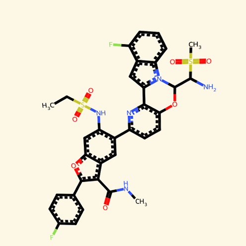 CCS(=O)(=O)Nc1cc2oc(-c3ccc(F)cc3)c(C(=O)NC)c2cc1-c1ccc2c(n1)-c1cc3c(F)cccc3n1C(C(N)S(C)(=O)=O)O2